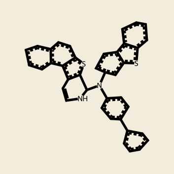 C1=Cc2c(sc3ccc4ccccc4c23)C(N(c2ccc(-c3ccccc3)cc2)c2ccc3c(c2)sc2ccccc23)N1